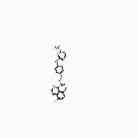 Fc1ccc(F)c2c(NCCc3ccc(Oc4nccc(C(F)(F)F)n4)cc3)ncnc12